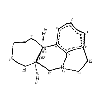 c1cc2c3c(c1)[C@@H]1CCCC[C@@H]1CN3CC2